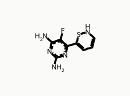 Nc1nc(N)c(F)c(C2=CC=CNS2)n1